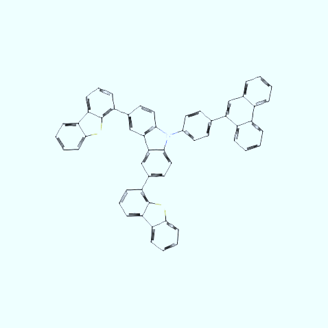 c1ccc2c(c1)cc(-c1ccc(-n3c4ccc(-c5cccc6c5sc5ccccc56)cc4c4cc(-c5cccc6c5sc5ccccc56)ccc43)cc1)c1ccccc12